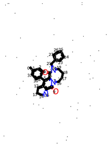 Cc1ccc(-c2c3n(c(=O)c4c2=CCCN=4)CCCCN(Cc2ccccc2)C3=O)cc1